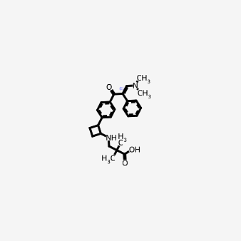 CN(C)/C=C(/C(=O)c1ccc(C2CCC2NCC(C)(C)C(=O)O)cc1)c1ccccc1